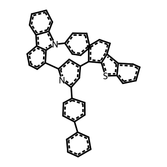 c1ccc(-c2ccc(-c3cc(-c4cccc5c4sc4ccccc45)cc(-c4cccc5c6ccccc6n(-c6ccccc6)c45)n3)cc2)cc1